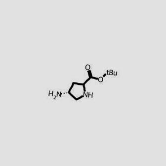 CC(C)(C)OC(=O)C1C[C@@H](N)CN1